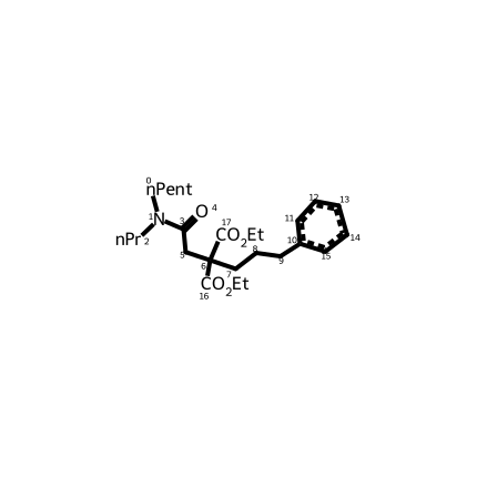 CCCCCN(CCC)C(=O)CC(CCCc1ccccc1)(C(=O)OCC)C(=O)OCC